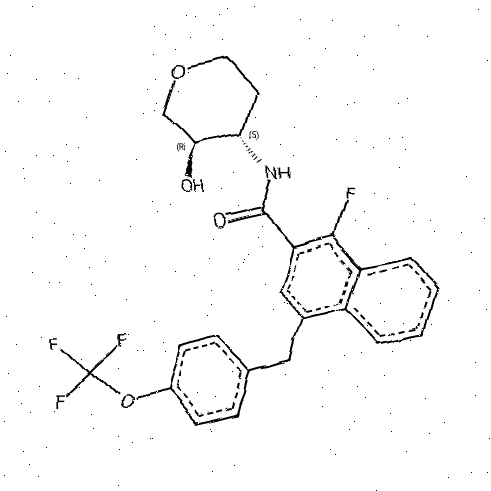 O=C(N[C@H]1CCOC[C@@H]1O)c1cc(Cc2ccc(OC(F)(F)F)cc2)c2ccccc2c1F